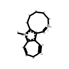 Cn1c2c(c3c1CCCCC/N=C\3)C#CCC=C2